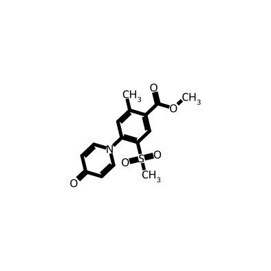 COC(=O)c1cc(S(C)(=O)=O)c(-n2ccc(=O)cc2)cc1C